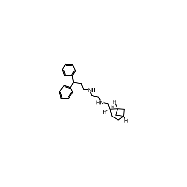 c1ccc(C(CCNCCNC[C@@H]2CC[C@H]3C[C@@H]2C3)c2ccccc2)cc1